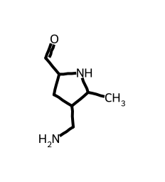 CC1NC(C=O)CC1CN